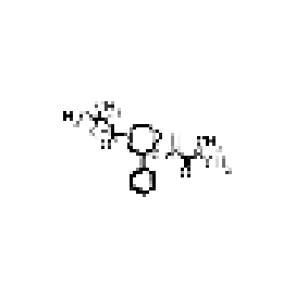 CN(C)C(=O)NC[C@H]1OCCN(C(=O)OC(C)(C)C)CC1c1ccccc1